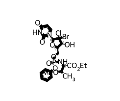 CCOC(=O)[C@@H](NP(=O)(OC[C@H]1O[C@@H](n2ccc(=O)[nH]c2=O)[C@](Cl)(Br)[C@@H]1O)Oc1ccccc1)C(C)OC